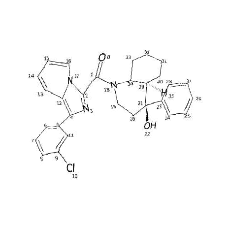 O=C(c1nc(-c2cccc(Cl)c2)c2ccccn12)N1CC[C@@](O)(c2ccccc2)[C@@H]2CCCCC21